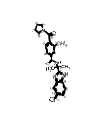 Cc1cc(C(=O)NC(C)(C)c2nc3cc(Cl)ccc3[nH]2)ccc1C(=O)N1CCCC1